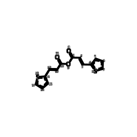 O=C(C=Cc1cccs1)OC(=O)C=Cc1cccs1